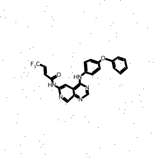 O=C(C=CC(F)(F)F)Nc1cc2c(Nc3ccc(Oc4ccccc4)cc3)ncnc2cn1